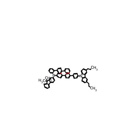 CCCc1ccc2c(c1)c1cc(CCC)ccc1n2-c1ccc(-c2ccc(-c3ccc(N(c4ccc5c(c4)C(C)(C)c4ccccc4-5)c4ccccc4-c4ccc(-c5ccccc5)cc4)cc3)cc2)cc1